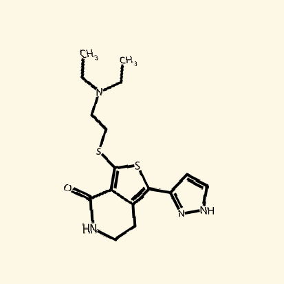 CCN(CC)CCSc1sc(-c2cc[nH]n2)c2c1C(=O)NCC2